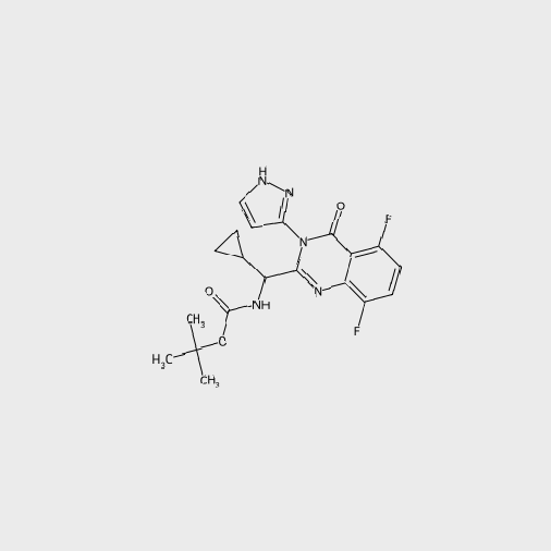 CC(C)(C)OC(=O)NC(c1nc2c(F)ccc(F)c2c(=O)n1-c1cc[nH]n1)C1CC1